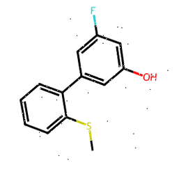 CSc1ccccc1-c1cc(O)cc(F)c1